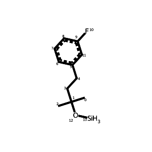 CC(C)(CCc1cccc(F)c1)O[SiH3]